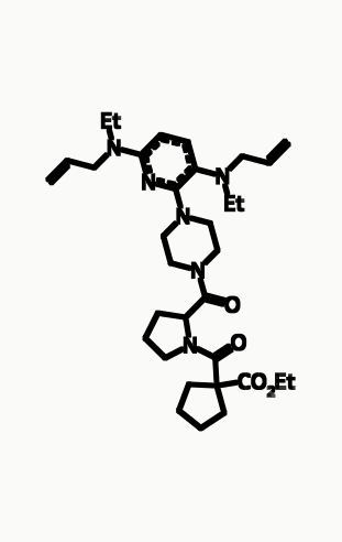 C=CCN(CC)c1ccc(N(CC)CC=C)c(N2CCN(C(=O)C3CCCN3C(=O)C3(C(=O)OCC)CCCC3)CC2)n1